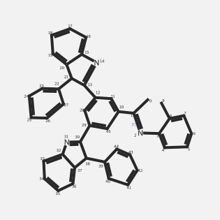 C/C(=N\c1ccccc1C)c1cc(C2=Nc3ccccc3C2c2ccccc2)cc(C2=Nc3ccccc3C2c2ccccc2)c1